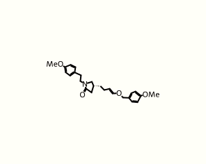 COc1ccc(CCN2C[C@H](CCC=COCc3ccc(OC)cc3)CC2=O)cc1